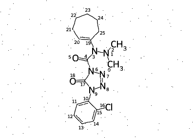 CN(C)N(C(=O)n1nnn(-c2ccccc2Cl)c1=O)C1=CCCCCC1